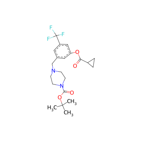 CC(C)(C)OC(=O)N1CCN(Cc2cc(OC(=O)C3CC3)cc(C(F)(F)F)c2)CC1